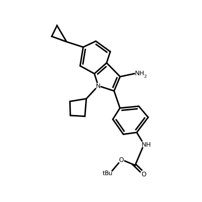 CC(C)(C)OC(=O)Nc1ccc(-c2c(N)c3ccc(C4CC4)cc3n2C2CCC2)cc1